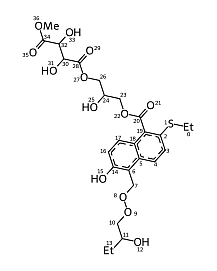 CCSc1ccc2c(COOCC(O)CC)c(O)ccc2c1C(=O)OCC(O)COC(=O)C(O)C(O)C(=O)OC